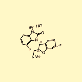 CNC[C@@H]1Oc2cc(F)ccc2[C@H]1n1c(=O)n(C(C)C)c2cccc(F)c21.Cl